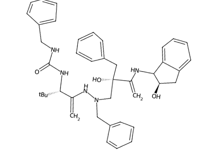 C=C(NN(Cc1ccccc1)C[C@@](O)(Cc1ccccc1)C(=C)NC1c2ccccc2C[C@H]1O)[C@@H](NC(=O)NCc1ccccc1)C(C)(C)C